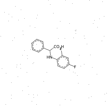 O=C(O)C(Nc1ccc(F)cc1F)c1ccccc1